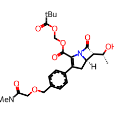 CNC(=O)COCc1ccc(C2=C(C(=O)OCOC(=O)C(C)(C)C)N3C(=O)[C@H]([C@@H](C)O)[C@H]3C2)cc1